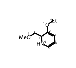 CCOC1=CC=CN[C]1COC